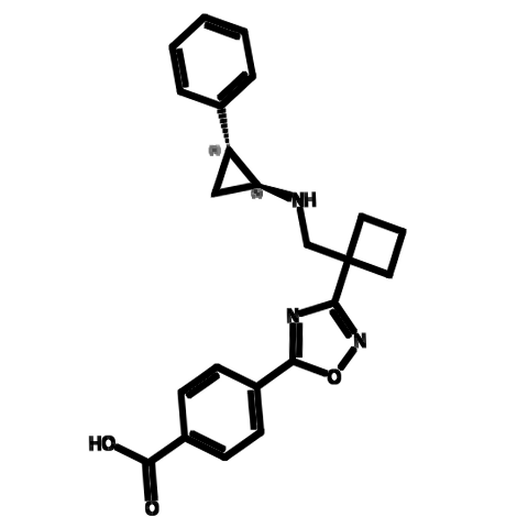 O=C(O)c1ccc(-c2nc(C3(CN[C@H]4C[C@@H]4c4ccccc4)CCC3)no2)cc1